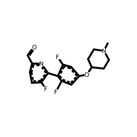 CN1CCC(Oc2cc(F)c(-c3nc(C=O)ccc3F)c(F)c2)CC1